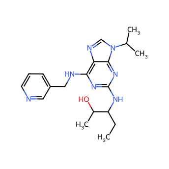 CCC(Nc1nc(NCc2cccnc2)c2ncn(C(C)C)c2n1)C(C)O